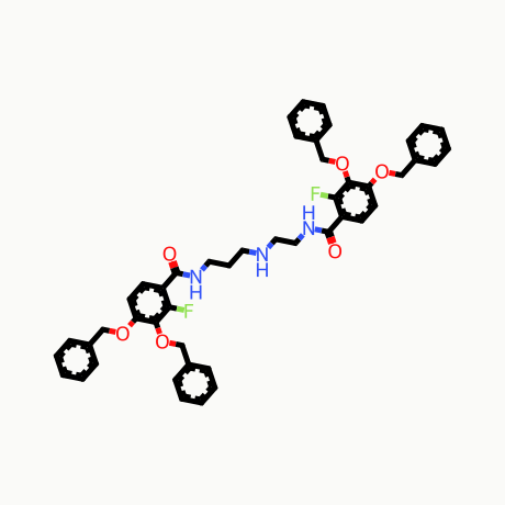 O=C(NCCCNCCNC(=O)c1ccc(OCc2ccccc2)c(OCc2ccccc2)c1F)c1ccc(OCc2ccccc2)c(OCc2ccccc2)c1F